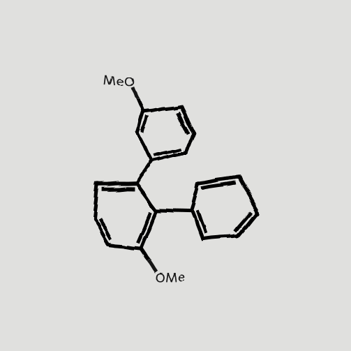 COc1cccc(-c2cccc(OC)c2-c2ccccc2)c1